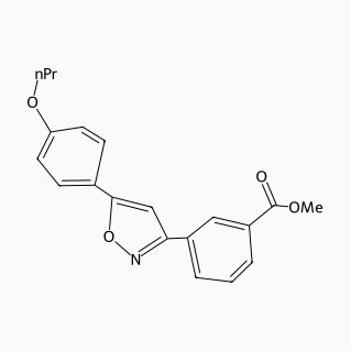 CCCOc1ccc(-c2cc(-c3cccc(C(=O)OC)c3)no2)cc1